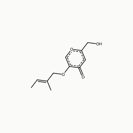 C/C=C(\C)COc1coc(CO)cc1=O